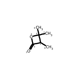 CC1C(=O)OC1(C)C